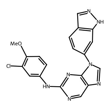 COc1ccc(Nc2ncc3ncn(-c4ccc5cn[nH]c5c4)c3n2)cc1Cl